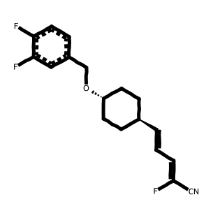 N#CC(F)=CC=C[C@H]1CC[C@H](OCc2ccc(F)c(F)c2)CC1